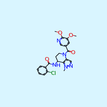 COc1cc(C(=O)N2CCC(NC(=O)c3ccccc3Cl)c3c2cnn3C)cnc1OC